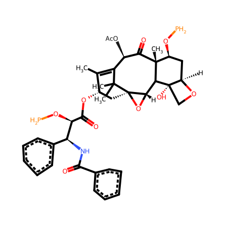 CC(=O)O[C@H]1C(=O)[C@@]2(C)C([C@@H]3O[C@]34C[C@H](OC(=O)[C@H](OP)[C@@H](NC(=O)c3ccccc3)c3ccccc3)C(C)=C1C4(C)C)[C@]1(O)CO[C@@H]1C[C@@H]2OP